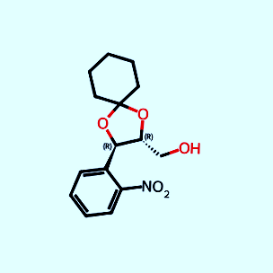 O=[N+]([O-])c1ccccc1[C@H]1OC2(CCCCC2)O[C@@H]1CO